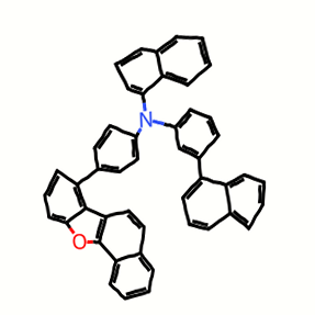 c1cc(-c2cccc3ccccc23)cc(N(c2ccc(-c3cccc4oc5c6ccccc6ccc5c34)cc2)c2cccc3ccccc23)c1